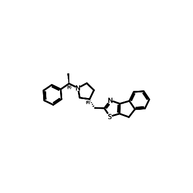 C[C@H](c1ccccc1)N1CC[C@H](Cc2nc3c(s2)Cc2ccccc2-3)C1